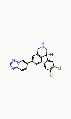 [2H]C1(c2ccc(Cl)c(Cl)c2)CNCc2cc(-c3ccc4ncnn4c3)ccc21